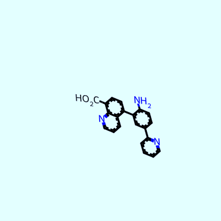 Nc1ccc(-c2ccccn2)cc1-c1ccc(C(=O)O)c2ncccc12